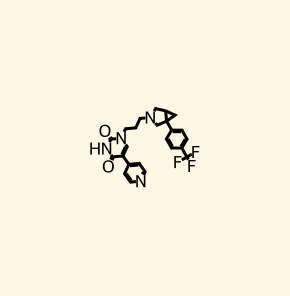 O=c1[nH]c(=O)n(CCCN2CC3CC3(c3ccc(C(F)(F)F)cc3)C2)cc1-c1ccncc1